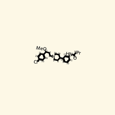 COC(CCN1CCC(c2cccc(NC(=O)C(C)C)c2)CC1)c1ccc(Cl)cc1